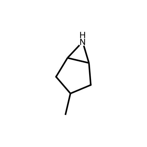 CC1CC2NC2C1